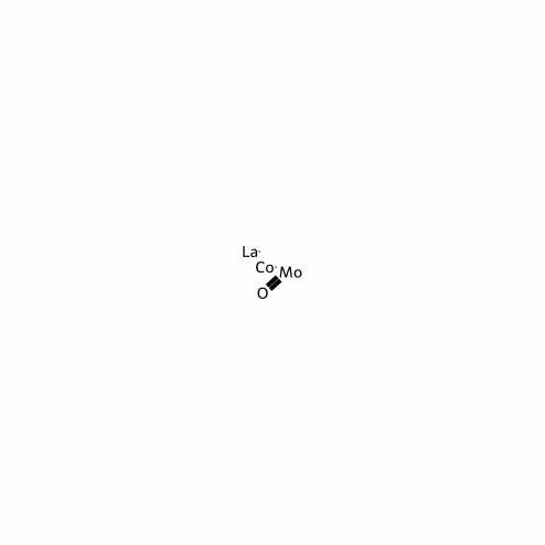 [Co].[La].[O]=[Mo]